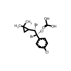 CC1(C)CC1[C@H](Br)[C@](Cl)(Br)c1ccc(Cl)cc1.O=C(O)O